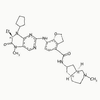 CC[C@@H]1C(=O)N(C)c2cnc(Nc3ccc(C(=O)NC4C[C@@H]5CCN(C)C[C@@H]5C4)c4c3OCC4)nc2N1C1CCCC1